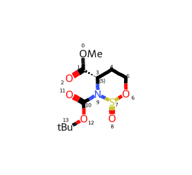 COC(=O)[C@@H]1CCOS(=O)N1C(=O)OC(C)(C)C